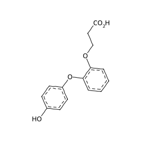 O=C(O)CCOc1ccccc1Oc1ccc(O)cc1